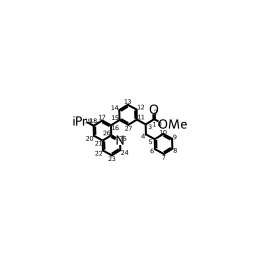 COC(=O)C(Cc1ccccc1)c1cccc(-c2cc(C(C)C)cc3cccnc23)c1